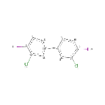 Clc1cc(-c2ccc(I)c(Cl)c2)ccc1I